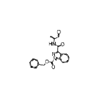 C=C(C=O)NC(=O)c1nn(C(=O)OCc2ccccc2)c2ccccc12